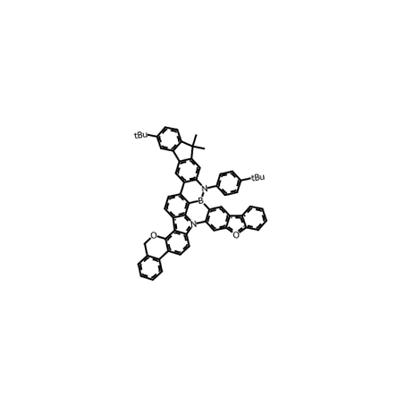 CC(C)(C)c1ccc(N2B3c4cc5c(cc4-n4c6ccc7c(c6c6ccc(c3c64)-c3cc4c(cc32)C(C)(C)c2ccc(C(C)(C)C)cc2-4)OCc2ccccc2-7)oc2ccccc25)cc1